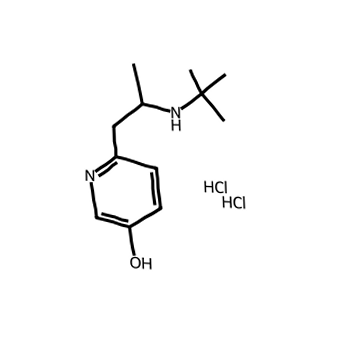 CC(Cc1ccc(O)cn1)NC(C)(C)C.Cl.Cl